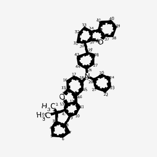 CC1(C)c2ccccc2-c2ccc3c(oc4ccc(N(c5ccccc5)c5ccc(-c6cccc7c6oc6ccccc67)cc5)cc43)c21